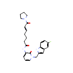 O=C(CCC/C=C/C(=O)N1CCCC1)Nc1cccn(Cc2cc3cc(F)ccc3[nH]2)c1=O